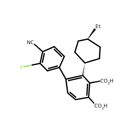 CC[C@H]1CC[C@H](c2c(-c3ccc(C#N)c(F)c3)ccc(C(=O)O)c2C(=O)O)CC1